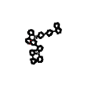 c1ccc(-c2ccccc2N(c2ccc(-c3ccc(-c4cccc5ccccc45)cc3)cc2)c2cccc(-c3cccc4c3c3cccc(-c5ccccc5)c3n4-c3ccccc3)c2)cc1